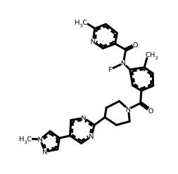 Cc1ccc(C(=O)N(F)c2cc(C(=O)N3CCC(c4ncc(-c5cnn(C)c5)cn4)CC3)ccc2C)cn1